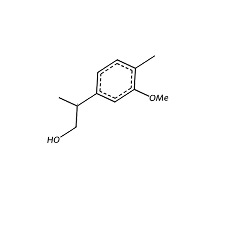 COc1cc([C](C)CO)ccc1C